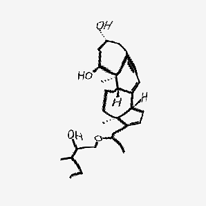 CCC(C)C(O)COC(C)C1=CC[C@H]2C3=CC=C4C[C@@H](O)C[C@H](O)[C@]4(C)[C@H]3CC[C@]12C